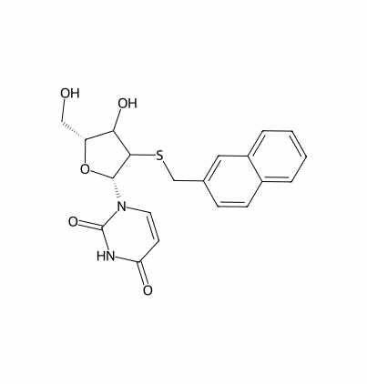 O=c1ccn([C@@H]2O[C@H](CO)C(O)C2SCc2ccc3ccccc3c2)c(=O)[nH]1